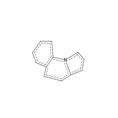 c1ccc2c(c1)ccc1cccn12